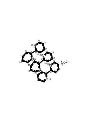 [Co+2].c1ccc(-c2ccccn2)nc1.c1ccc(-c2ccccn2)nc1.c1ccc(-c2ccccn2)nc1